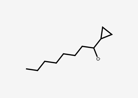 CCCCCCCC([O])C1CC1